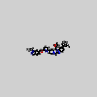 C=C(CC(C)(C)C)c1ccc2nc(CN3CCC(c4cccc(OCc5ccc6cnn(CC(F)(F)F)c6c5)n4)CC3)n(CC3CCO3)c2c1